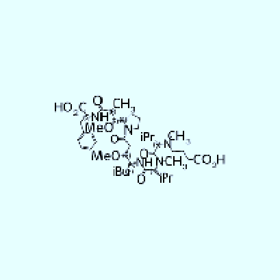 CC[C@H](C)[C@H](NC(=O)[C@H](C(C)C)N(C)C(=O)[C@H](C(C)C)N(C)CCCC(=O)O)[C@@H](CC(=O)N1CCC[C@H]1[C@H](OC)[C@@H](C)C(=O)N[C@@H](Cc1ccccc1)C(=O)O)OC